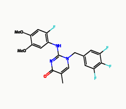 COc1cc(F)c(Nc2nc(=O)c(C)cn2Cc2cc(F)c(F)c(F)c2)cc1OC